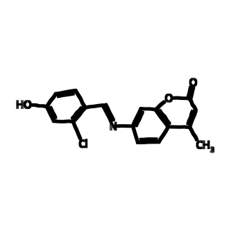 Cc1cc(=O)oc2cc(N=Cc3ccc(O)cc3Cl)ccc12